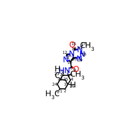 CC1C[C@H]2CC(C)(NC(=O)c3ncn4c(=O)n(C)nnc34)C[C@](C)(C1)C2